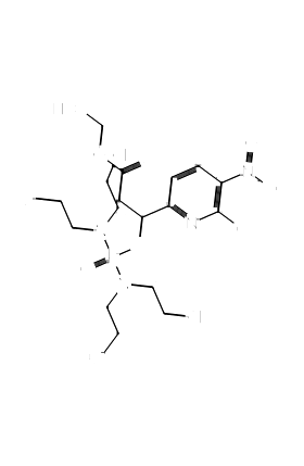 CCOC(=O)CC(OP(=O)(N(CCCl)CCCl)N(CCCl)CCCl)c1ccc([N+](=O)[O-])c(C)n1